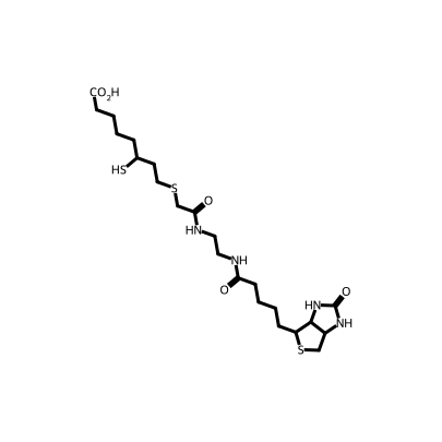 O=C(O)CCCCC(S)CCSCC(=O)NCCNC(=O)CCCCC1SCC2NC(=O)NC21